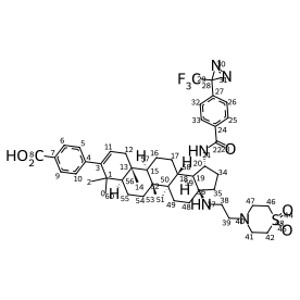 CC1(C)C(c2ccc(C(=O)O)cc2)=CC[C@]2(C)[C@H]3CC[C@@H]4[C@H]5[C@H](NC(=O)c6ccc(C7(C(F)(F)F)N=N7)cc6)CC[C@]5(NCCN5CCS(=O)(=O)CC5)CC[C@@]4(C)[C@]3(C)CC[C@@H]12